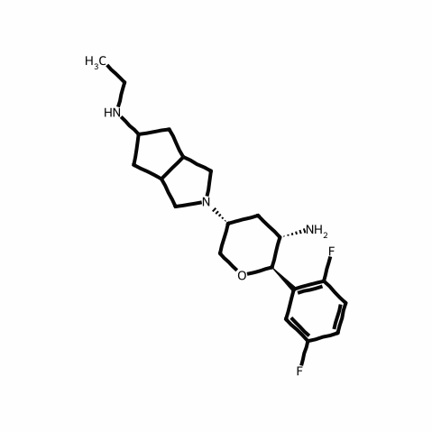 CCNC1CC2CN([C@H]3CO[C@H](c4cc(F)ccc4F)[C@@H](N)C3)CC2C1